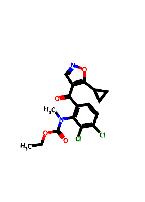 CCOC(=O)N(C)c1c(C(=O)c2cnoc2C2CC2)ccc(Cl)c1Cl